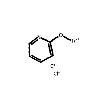 [Cl-].[Cl-].[Ti+2][O]c1ccccn1